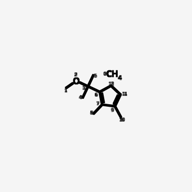 C.COC(C)(C)C1=C(C)C(C)=CC1